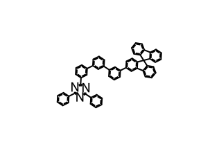 c1ccc(-c2nc(-c3ccccc3)nc(-c3cccc(-c4cccc(-c5cccc(-c6ccc7c(c6)-c6ccccc6C76c7ccccc7-c7ccccc76)c5)c4)c3)n2)cc1